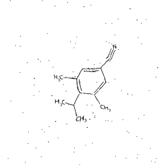 Cc1cc(C#N)cc(C)c1C(C)C